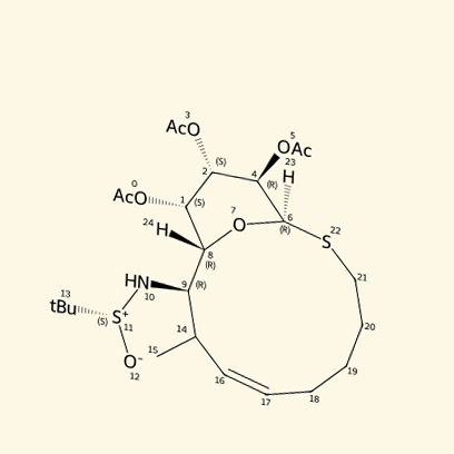 CC(=O)O[C@@H]1[C@H](OC(C)=O)[C@@H](OC(C)=O)[C@@H]2O[C@@H]1[C@H](N[S@+]([O-])C(C)(C)C)C(C)C=CCCCCS2